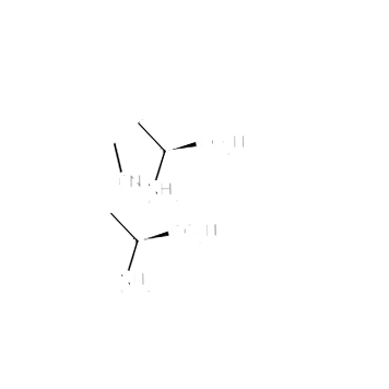 CC#N.C[C@H](N)C(=O)O.C[C@H](N)C(=O)O